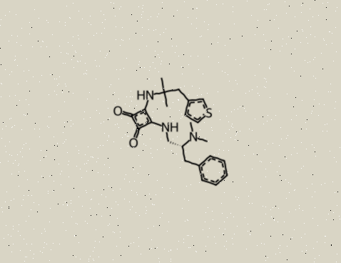 CN(C)[C@@H](CNc1c(NC(C)(C)Cc2ccsc2)c(=O)c1=O)Cc1ccccc1